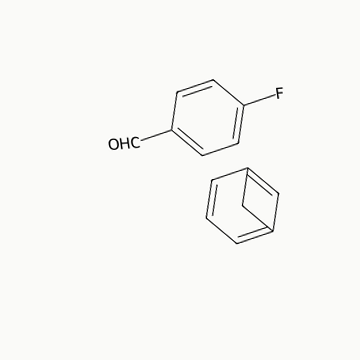 O=Cc1ccc(F)cc1.c1cc2cc(c1)C2